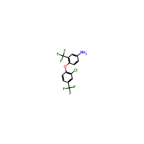 Nc1ccc(Oc2ccc(C(F)(F)F)cc2Cl)c(C(F)(F)F)c1